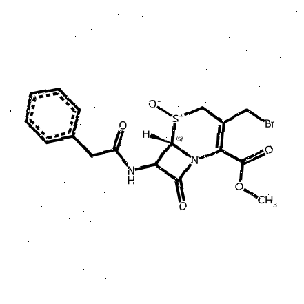 COC(=O)C1=C(CBr)C[S+]([O-])[C@H]2C(NC(=O)Cc3ccccc3)C(=O)N12